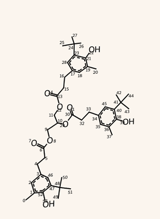 Cc1cc(CCC(=O)OCC(COC(=O)CCc2cc(C)c(O)c(C(C)(C)C)c2)OC(=O)CCc2cc(C)c(O)c(C(C)(C)C)c2)cc(C(C)(C)C)c1O